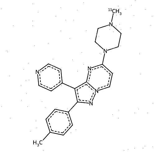 Cc1ccc(-c2nn3ccc(N4CCN([11CH3])CC4)nc3c2-c2ccncc2)cc1